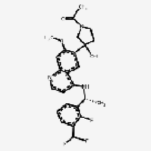 COc1cc2nccc(N[C@H](C)c3cccc(C(F)F)c3F)c2cc1C1(O)CCN(C(C)=O)C1